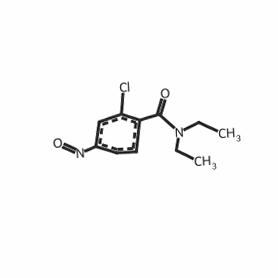 CCN(CC)C(=O)c1ccc(N=O)cc1Cl